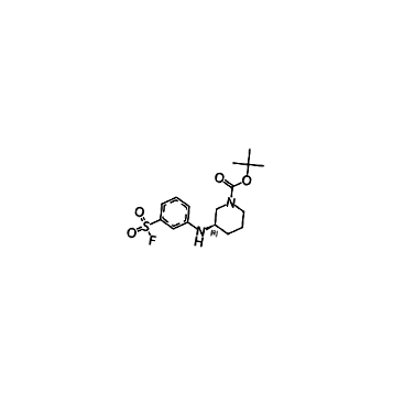 CC(C)(C)OC(=O)N1CCC[C@@H](Nc2cccc(S(=O)(=O)F)c2)C1